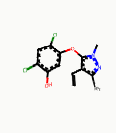 C=Cc1c(CCC)nn(C)c1Oc1cc(O)c(Cl)cc1Cl